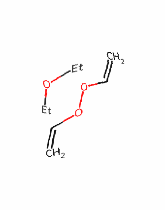 C=COOC=C.CCOCC